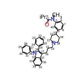 CC(C)C(=O)N(C)c1cccc(C2CCN(CCCc3c(-c4ccccc4)n(-c4ccccc4)c4ccccc34)CC2)c1